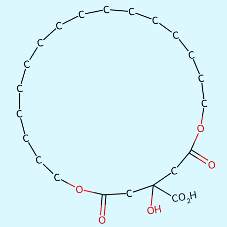 O=C1CC(O)(C(=O)O)CC(=O)OCCCCCCCCCCCCCCCCO1